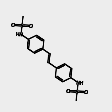 CS(=O)(=O)Nc1ccc(C=Cc2ccc(NS(C)(=O)=O)cc2)cc1